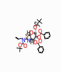 C=CCN(C(=O)OC(C)(C)C)C1=N[C@@H]2[C@@H](OC(=O)c3ccccc3)[C@H](OC(=O)c3ccccc3)[C@@H](CO[Si](C)(C)C(C)(C)C)O[C@@H]2S1